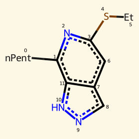 CCCCCc1nc(SCC)cc2cn[nH]c12